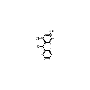 O=C(c1ccccc1)c1ccc(Br)cc1Cl